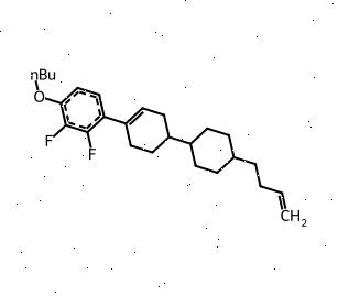 C=CCCC1CCC(C2CC=C(c3ccc(OCCCC)c(F)c3F)CC2)CC1